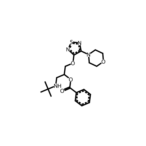 CC(C)(C)NCC(COc1nsnc1N1CCOCC1)OC(=O)c1ccccc1